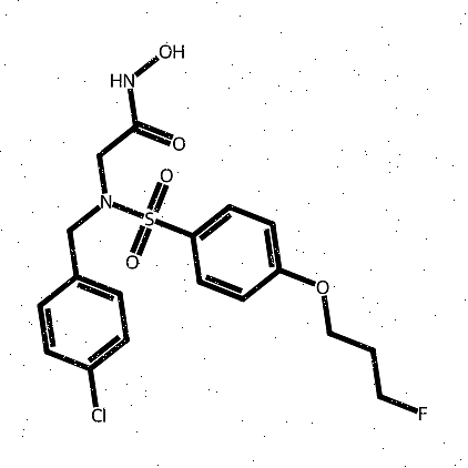 O=C(CN(Cc1ccc(Cl)cc1)S(=O)(=O)c1ccc(OCCCF)cc1)NO